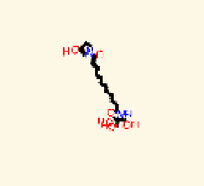 O=C(CCCCCCCCCCC(=O)N1CC[C@@H](O)C1)NC(CO)(CO)CO